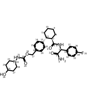 NC(=O)[C@@H](NC(=O)[C@@H]1CCCC[C@H]1c1ccc(COC(=O)NN2CCC(O)CC2)cc1)c1ccc(F)cc1